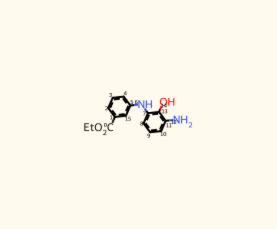 CCOC(=O)c1cccc(Nc2cccc(N)c2O)c1